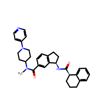 CN(C(=O)c1ccc2c(c1)[C@H](NC(=O)[C@@H]1CCCc3ccccc31)CC2)C1CCN(c2ccncc2)CC1